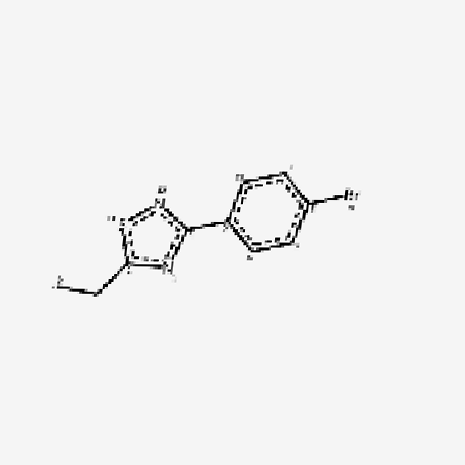 [CH2]Cc1nc(-c2ccc(Br)cc2)ns1